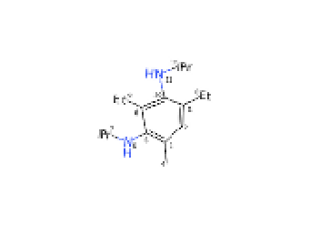 CCc1cc(C)c(NC(C)C)c(CC)c1NC(C)C